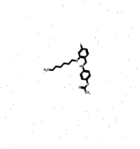 CCCCCCCOc1cc(I)ccc1CNc1ccc(OC(C)=O)cc1